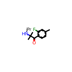 Cc1ccc(C(=O)C(C)(C)NC(C)C)c(F)c1